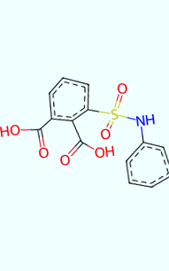 O=C(O)c1cccc(S(=O)(=O)Nc2ccccc2)c1C(=O)O